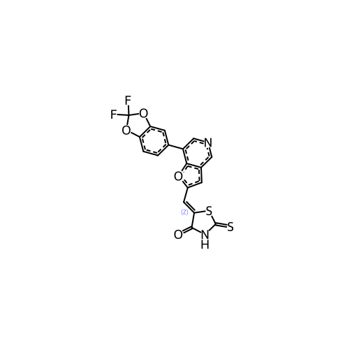 O=C1NC(=S)S/C1=C\c1cc2cncc(-c3ccc4c(c3)OC(F)(F)O4)c2o1